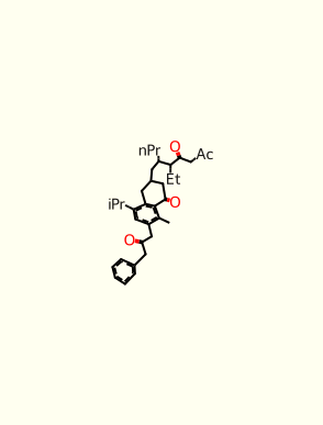 CCCC(CC1CC(=O)c2c(C)c(CC(=O)Cc3ccccc3)cc(C(C)C)c2C1)C(CC)C(=O)CC(C)=O